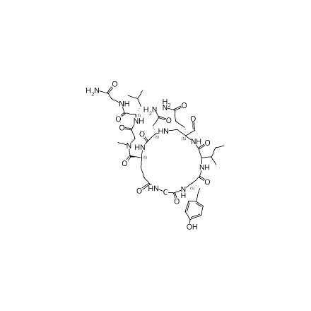 CCC(C)C1NC(=O)[C@H](Cc2ccc(O)cc2)NC(=O)CNC(=O)CC[C@@H](C(=O)N(C)CC(=O)N[C@@H](CC(C)C)C(=O)NCC(N)=O)NC(=O)[C@H](CC(N)=O)NC[C@](C=O)(CCC(N)=O)NC1=O